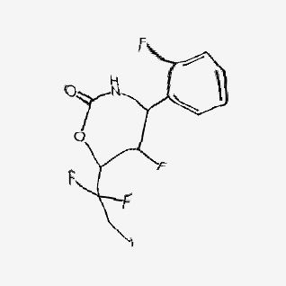 O=C1NC(c2ccccc2F)C(F)C(C(F)(F)CI)O1